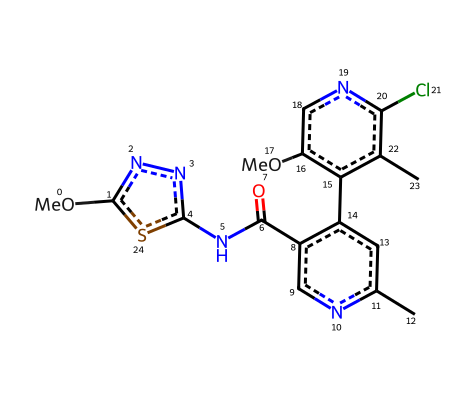 COc1nnc(NC(=O)c2cnc(C)cc2-c2c(OC)cnc(Cl)c2C)s1